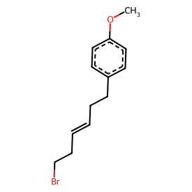 COc1ccc(CCC=CCCBr)cc1